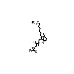 CCCC(=S)NCC(=O)NC[C@H]1[C@@H](CCCCCCC(=O)O)[C@H]2CC[C@@H]1O2